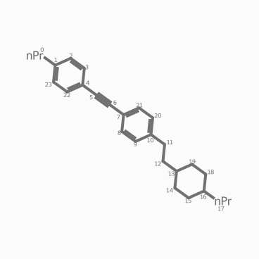 CCCc1ccc(C#Cc2ccc(CCC3CCC(CCC)CC3)cc2)cc1